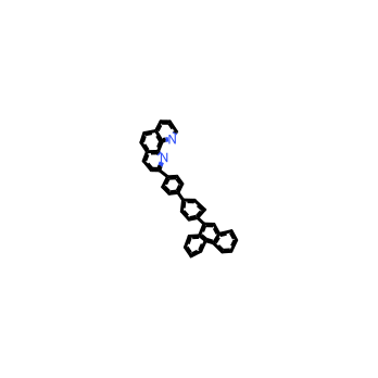 c1ccc2c(c1)cc(-c1ccc(-c3ccc(-c4ccc5ccc6cccnc6c5n4)cc3)cc1)c1ccccc12